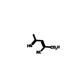 CC(=N)/C=C(\C#N)C(=O)O